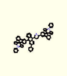 c1ccc(-c2ccc3c(-c4ccc(-c5ccc6c(c5)-c5ccccc5C65c6ccccc6N(c6ccccc6)c6ccccc65)nc4)c4ccccc4c(-c4ccc5c(c4)-c4ccccc4C54c5ccccc5N(c5ccccc5)c5ccccc54)c3c2)cc1